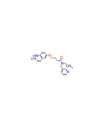 CCN(Cc1cccnc1)C(=O)CCCOc1ccc2[nH]c(=O)ccc2c1